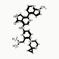 CN(C)Cc1nc(Nc2cnc(-c3ccnc4c3ccn4C)c3c2C(=O)NC3)ccc1N1CCOC2(CC2)C1